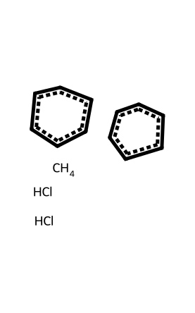 C.Cl.Cl.c1ccccc1.c1ccccc1